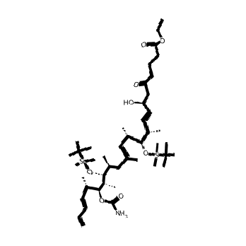 C=CC=C[C@H](C)[C@H](OC(N)=O)[C@@H](C)[C@H](O[Si](C)(C)C(C)(C)C)[C@@H](C)CC(C)=C[C@H](C)[C@@H](O[Si](C)(C)C(C)(C)C)[C@@H](C)C=C[C@@H](O)CC(=O)CCCC(=O)OCC